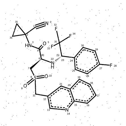 N#CC1(NC(=O)[C@H](CS(=O)(=O)Cc2cnc3ccccc3c2)N[C@@H](c2ccc(F)cc2)C(F)(F)F)CC1